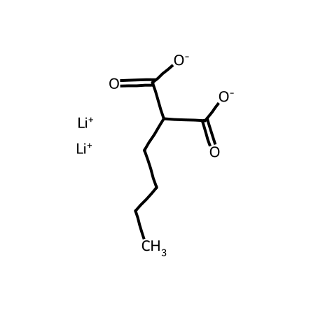 CCCCC(C(=O)[O-])C(=O)[O-].[Li+].[Li+]